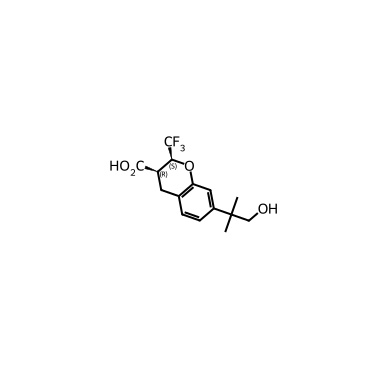 CC(C)(CO)c1ccc2c(c1)O[C@H](C(F)(F)F)[C@H](C(=O)O)C2